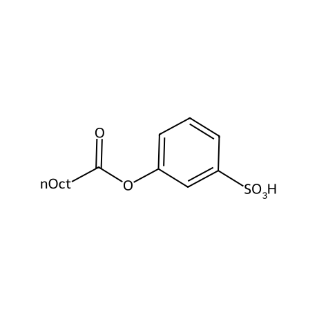 CCCCCCCCC(=O)Oc1cccc(S(=O)(=O)O)c1